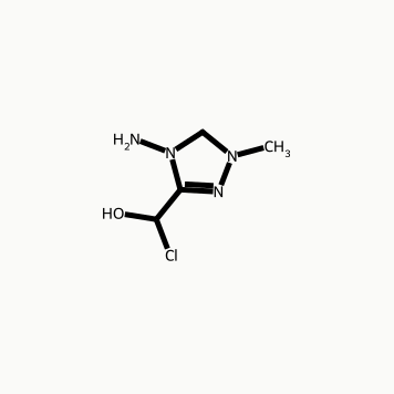 CN1CN(N)C(C(O)Cl)=N1